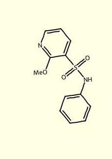 COc1ncccc1S(=O)(=O)Nc1ccccc1